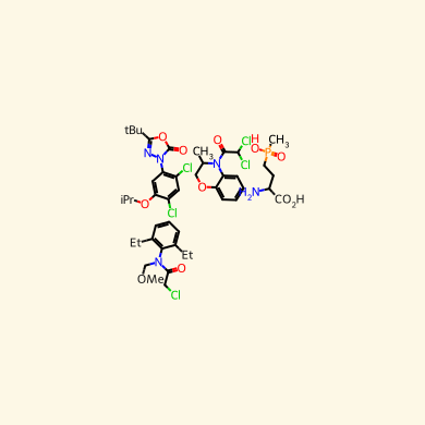 CC(C)Oc1cc(-n2nc(C(C)(C)C)oc2=O)c(Cl)cc1Cl.CC1COc2ccccc2N1C(=O)C(Cl)Cl.CCc1cccc(CC)c1N(COC)C(=O)CCl.CP(=O)(O)CCC(N)C(=O)O